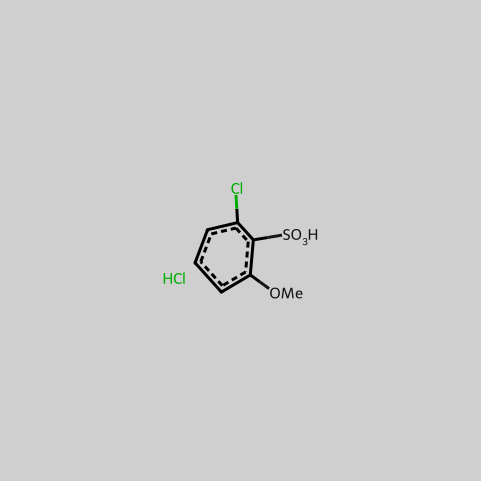 COc1cccc(Cl)c1S(=O)(=O)O.Cl